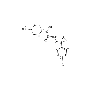 NC(C(=O)NCC1(c2ccc(Cl)cc2)CC1)C1CCN(C=O)CC1